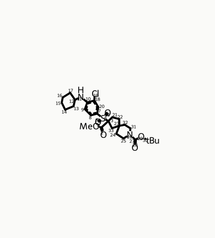 COC(=O)C1(S(=O)(=O)c2ccc(NC3CCCCC3)c(Cl)c2)CCC2(CCN(C(=O)OC(C)(C)C)CC2)C1